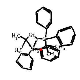 CC(C)(C)[Si](S[Si](c1ccccc1)(c1ccccc1)C(C)(C)C)(c1ccccc1)c1ccccc1